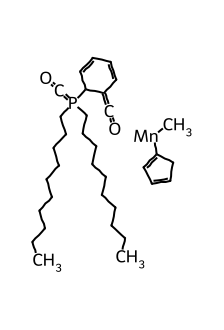 CCCCCCCCCCP(=C=O)(CCCCCCCCCC)C1C=CC=CC1=C=O.[CH3][Mn][C]1=CC=CC1